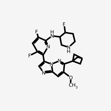 COc1cc2ncc(-c3nc(NC4CNCCC4F)c(F)cc3F)n2nc1C12CC(C1)C2